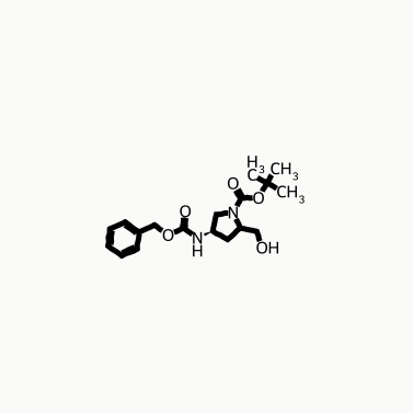 CC(C)(C)OC(=O)N1C[C@@H](NC(=O)OCc2ccccc2)CC1CO